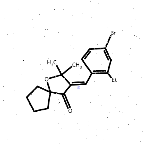 CCc1cc(Br)ccc1/C=C1/C(=O)C2(CCCC2)OC1(C)C